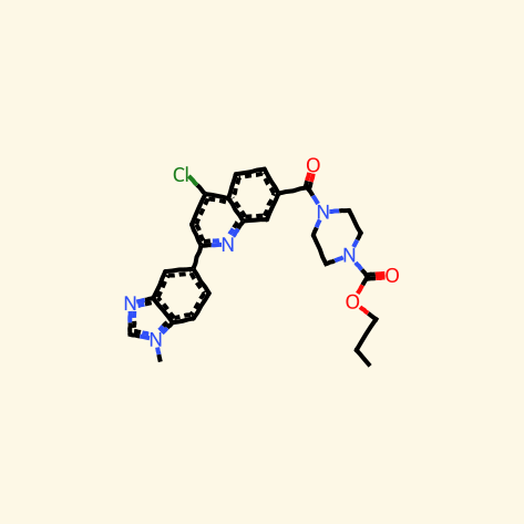 CCCOC(=O)N1CCN(C(=O)c2ccc3c(Cl)cc(-c4ccc5c(c4)ncn5C)nc3c2)CC1